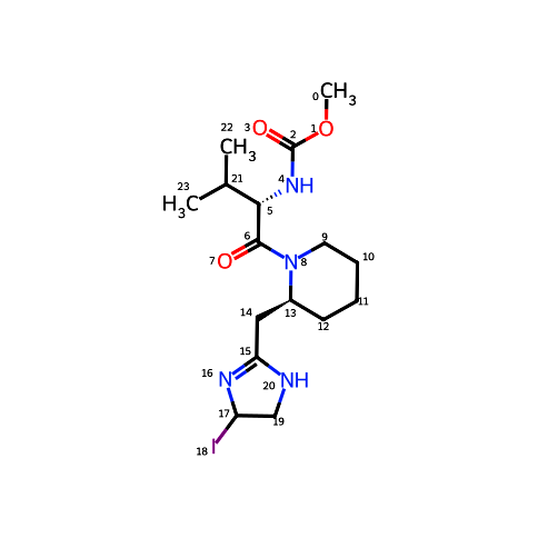 COC(=O)N[C@H](C(=O)N1CCCC[C@H]1CC1=NC(I)CN1)C(C)C